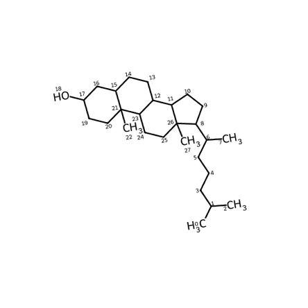 CC(C)CCCC(C)C1CCC2C3CCC4CC(O)CCC4(C)C3CCC12C